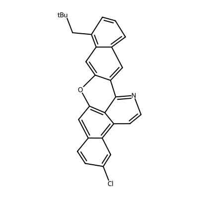 CC(C)(C)Cc1cccc2cc3c(cc12)Oc1cc2ccc(Cl)cc2c2ccnc-3c12